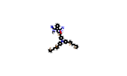 [C-]#[N+]/C(C#N)=C1\C(=Cc2ccc(-c3ccc(N(c4ccc(-c5ccc(/C=C/c6cccs6)s5)cc4)c4ccc(-c5ccc(/C=C/c6cccs6)s5)cc4)cc3)s2)/C(=C(/C#N)[N+]#[C-])c2ccccc21